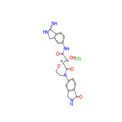 Cl.N=C1NCc2cc(NC(=O)[C@H](O)[C@H]3OCCN(c4ccc5c(c4)CNC5=O)C3=O)ccc21